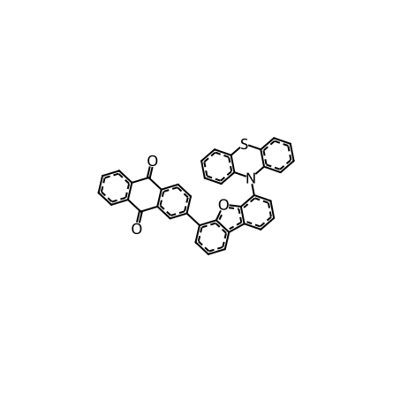 O=C1c2ccccc2C(=O)c2cc(-c3cccc4c3oc3c(N5c6ccccc6Sc6ccccc65)cccc34)ccc21